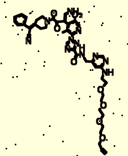 C#CCOCCOCCOCCOCCNc1cc(CNC(=O)c2ncn(-c3ncc(OC)c(/C(=C\N)C(=O)C(=O)N4CCC(=C(C#N)c5ccccc5)CC4)c3C)n2)ncn1